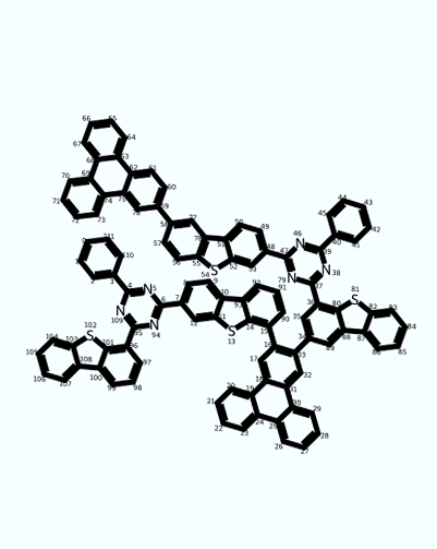 c1ccc(-c2nc(-c3ccc4c(c3)sc3c(-c5cc6c7ccccc7c7ccccc7c6cc5-c5cc(-c6nc(-c7ccccc7)nc(-c7ccc8c(c7)sc7ccc(-c9ccc%10c%11ccccc%11c%11ccccc%11c%10c9)cc78)n6)c6sc7ccccc7c6c5)cccc34)nc(-c3cccc4c3sc3ccccc34)n2)cc1